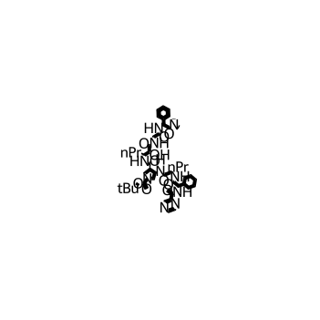 CCC[C@H](NC(=O)[C@@H](NC(=O)c1cnccn1)C1CCCCC1)C(=O)N[C@H]1CN(C(=O)OC(C)(C)C)C[C@H]1C(=O)N[C@@H](CCC)C(O)C(=O)NCC(=O)N[C@H](C(=O)N(C)C)c1ccccc1